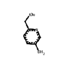 Bc1ccc(CC(C)(C)C)nc1